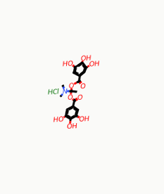 CN(C)C(C)(OC(=O)c1cc(O)c(O)c(O)c1)OC(=O)c1cc(O)c(O)c(O)c1.Cl